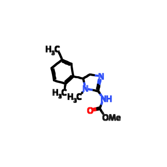 COC(=O)NC1=NCC(c2cc(C)ccc2C)N1C